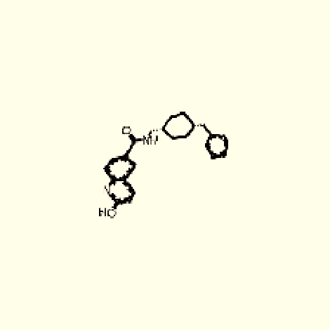 O=C(NC[C@H]1CC[C@@H](Cc2ccccc2)CC1)c1ccc2nc(O)ccc2c1